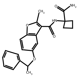 Cc1oc2ccc(OC(C)c3ccccc3)cc2c1C(=O)NC1(C(N)=O)CCC1